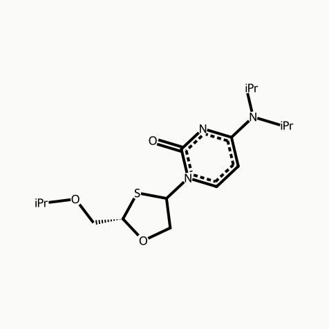 CC(C)OC[C@H]1OCC(n2ccc(N(C(C)C)C(C)C)nc2=O)S1